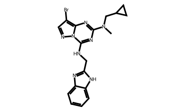 CN(CC1CC1)c1nc(NCc2nc3ccccc3[nH]2)n2ncc(Br)c2n1